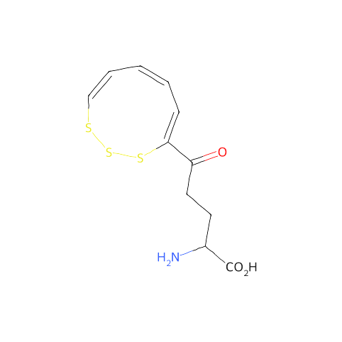 NC(CCC(=O)C1=CC=CC=CSSS1)C(=O)O